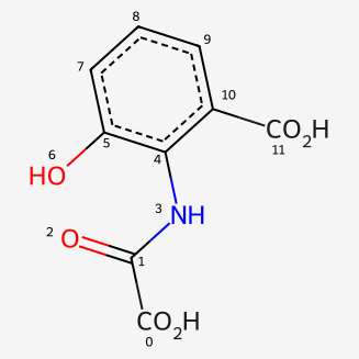 O=C(O)C(=O)Nc1c(O)cccc1C(=O)O